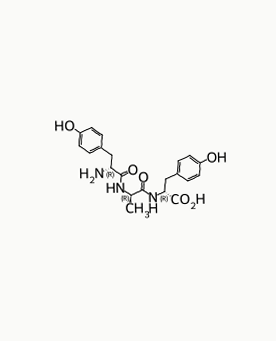 C[C@@H](NC(=O)[C@H](N)Cc1ccc(O)cc1)C(=O)N[C@H](Cc1ccc(O)cc1)C(=O)O